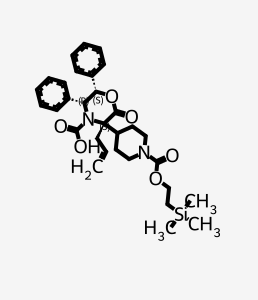 C=CC[C@]1(C2CCN(C(=O)OCC[Si](C)(C)C)CC2)C(=O)O[C@@H](c2ccccc2)[C@@H](c2ccccc2)N1C(=O)O